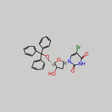 O=c1[nH]c(=O)n([C@@H]2CC(O)[C@H](COC(c3ccccc3)(c3ccccc3)c3ccccc3)O2)cc1Br